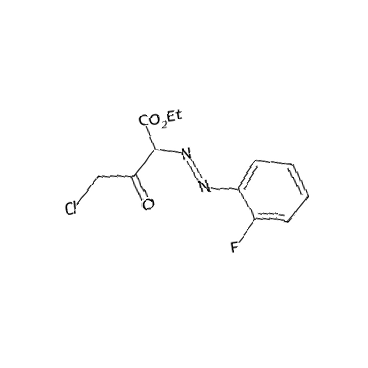 CCOC(=O)C(/N=N/c1ccccc1F)C(=O)CCl